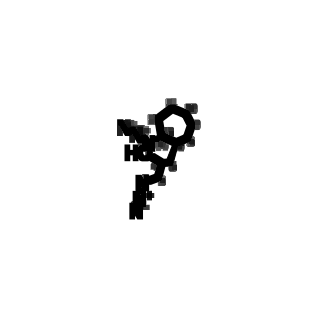 [N-]=[N+]=NCC(O)C[C@@H]1CCCCC[C@H]1N=[N+]=[N-]